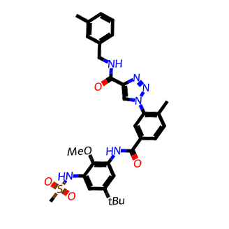 COc1c(NC(=O)c2ccc(C)c(-n3cc(C(=O)NCc4cccc(C)c4)nn3)c2)cc(C(C)(C)C)cc1NS(C)(=O)=O